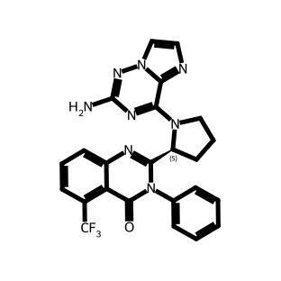 Nc1nc(N2CCC[C@H]2c2nc3cccc(C(F)(F)F)c3c(=O)n2-c2ccccc2)c2nccn2n1